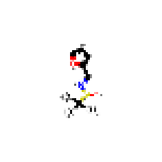 CC(C)(C)[S@+]([O-])/N=C/c1ccco1